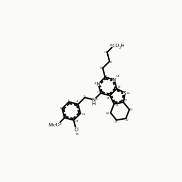 COc1ccc(CNc2nc(CCCC(=O)O)nc3sc4c(c23)CCCC4)cc1Cl